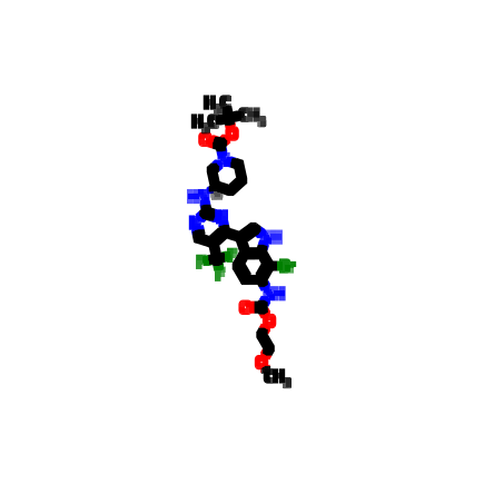 COCCOC(=O)Nc1ccc2c(-c3nc(N[C@H]4CCCN(C(=O)OC(C)(C)C)C4)ncc3C(F)(F)F)c[nH]c2c1Br